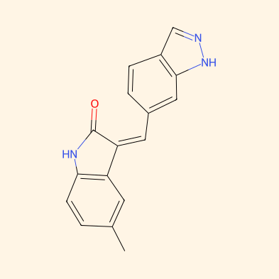 Cc1ccc2c(c1)/C(=C/c1ccc3cn[nH]c3c1)C(=O)N2